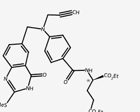 C#CCN(Cc1ccc2nc(SC)[nH]c(=O)c2c1)c1ccc(C(=O)N[C@H](CCC(=O)OCC)C(=O)OCC)cc1